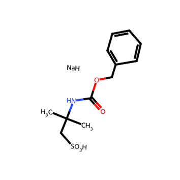 CC(C)(CS(=O)(=O)O)NC(=O)OCc1ccccc1.[NaH]